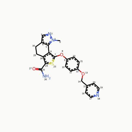 Cn1ncc2c1-c1c(Oc3ccc(OCc4ccncc4)cc3)sc(C(N)=O)c1CC2